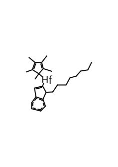 CCCCCCCCC1[C]([Hf][C]2(C)C(C)=C(C)C(C)=C2C)=Cc2ccccc21